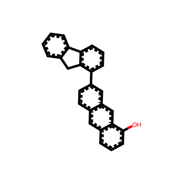 Oc1cccc2cc3ccc(-c4cccc5c4Cc4ccccc4-5)cc3cc12